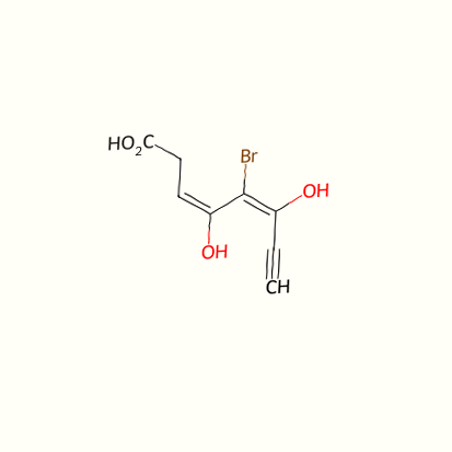 C#C/C(O)=C(Br)\C(O)=C/CC(=O)O